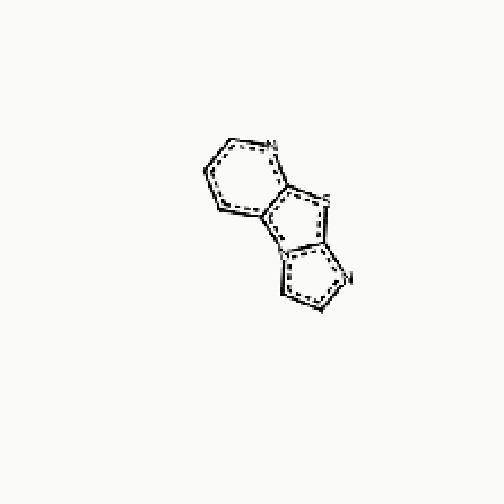 [c]1cn2c(n1)sc1ncccc12